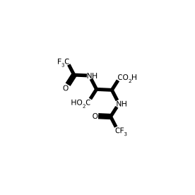 O=C(O)C(NC(=O)C(F)(F)F)C(NC(=O)C(F)(F)F)C(=O)O